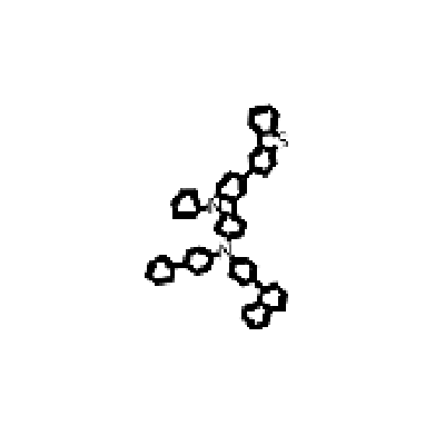 c1ccc(-c2ccc(N(c3ccc(-c4cccc5ccccc45)cc3)c3ccc4c5cc(-c6ccc7sc8ccccc8c7c6)ccc5n(-c5ccccc5)c4c3)cc2)cc1